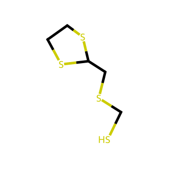 SCSCC1SCCS1